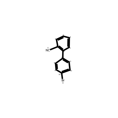 N#Cc1[c]cccc1-c1ccc(Br)cc1